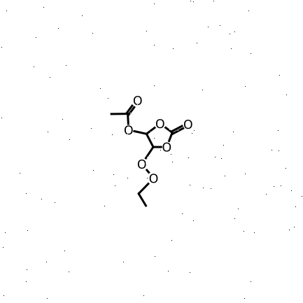 CCOOC1OC(=O)OC1OC(C)=O